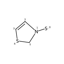 [S]N1C=CSC1